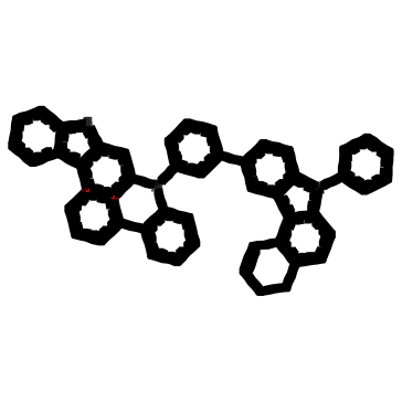 C1=Cc2c(ccc3c2c2cc(-c4cccc(N(c5ccc6c(c5)sc5ccccc56)c5ccccc5-c5ccccc5)c4)ccc2n3-c2ccccc2)CC1